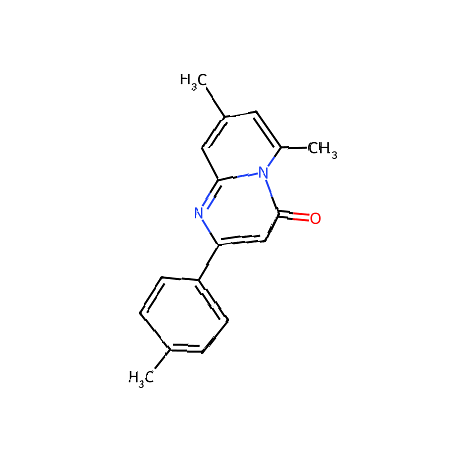 Cc1ccc(-c2cc(=O)n3c(C)cc(C)cc3n2)cc1